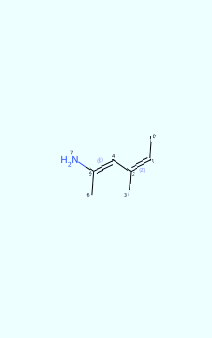 C/C=C(C)\C=C(/C)N